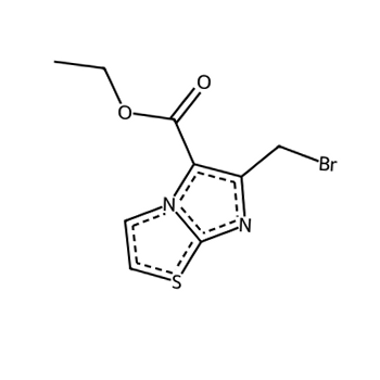 CCOC(=O)c1c(CBr)nc2sccn12